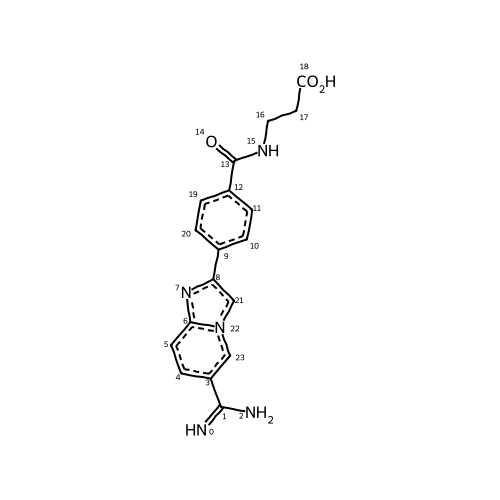 N=C(N)c1ccc2nc(-c3ccc(C(=O)NCCC(=O)O)cc3)cn2c1